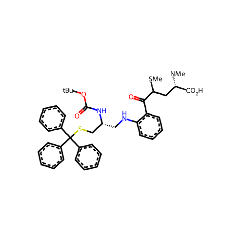 CN[C@@H](CC(SC)C(=O)c1ccccc1NC[C@H](CSC(c1ccccc1)(c1ccccc1)c1ccccc1)NC(=O)OC(C)(C)C)C(=O)O